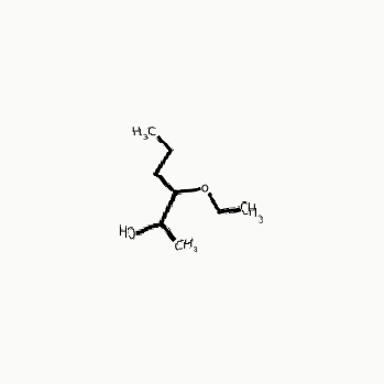 CCCC(OCC)C(C)O